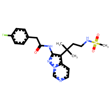 CC(C)(CCNS(C)(=O)=O)c1c(NC(=O)Cc2ccc(F)cc2)nn2cnccc12